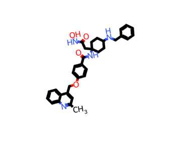 Cc1cc(COc2ccc(C(=O)NC3(CC(=O)NO)CCC(NCc4ccccc4)CC3)cc2)c2ccccc2n1